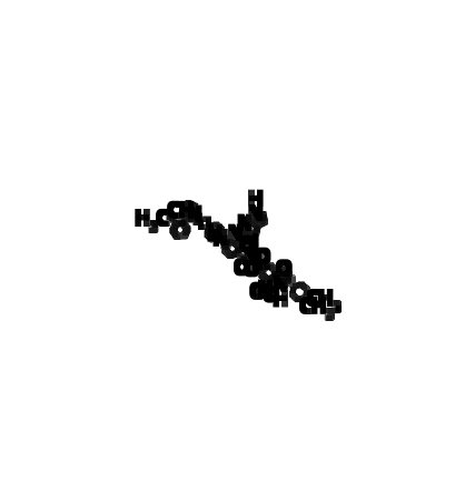 CC(C)c1ccccc1[C@H]1CCCN1C1CC2(CCN(c3ccc(C(=O)NS(=O)(=O)c4cc5c(c([N+](=O)[O-])c4)N[C@@H](C4CCC(C)(C)CC4)CO5)c(Oc4cc5cc[nH]c5nc4N)c3)CC2)C1